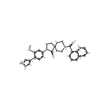 COc1cc(N2CCC3(CCN(C(=O)c4cccc5cccnc45)CC3)C2=O)ccc1-c1cn[nH]c1